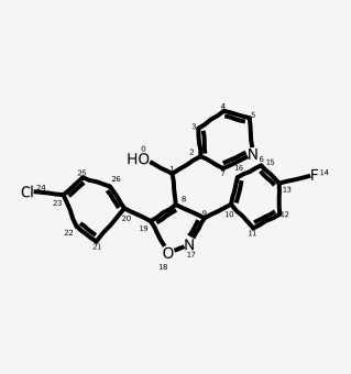 OC(c1cccnc1)c1c(-c2ccc(F)cc2)noc1-c1ccc(Cl)cc1